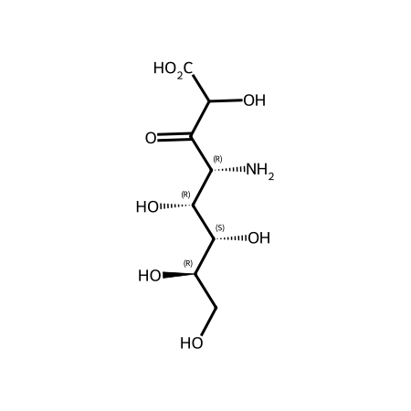 N[C@@H](C(=O)C(O)C(=O)O)[C@@H](O)[C@H](O)[C@H](O)CO